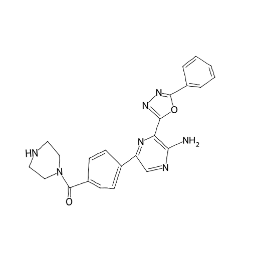 Nc1ncc(-c2ccc(C(=O)N3CCNCC3)cc2)nc1-c1nnc(-c2ccccc2)o1